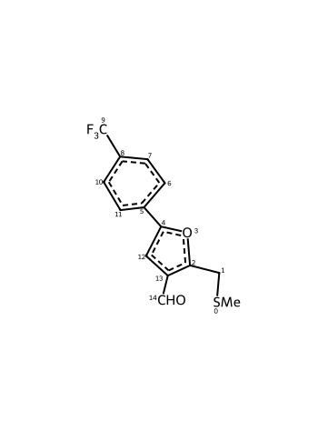 CSCc1oc(-c2ccc(C(F)(F)F)cc2)cc1C=O